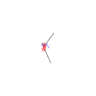 CCCCCCCCC=CCCCCCCCC(=O)OCC(CN)OC(=O)CCCCCCCC=CCCCCCCCC